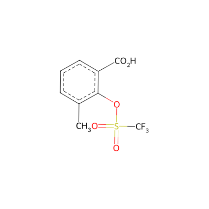 Cc1cccc(C(=O)O)c1OS(=O)(=O)C(F)(F)F